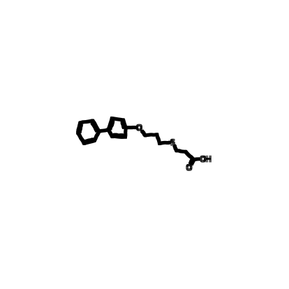 O=C(O)CCSCCCOc1ccc(-c2ccccc2)cc1